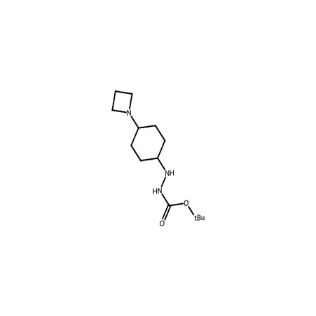 CC(C)(C)OC(=O)NNC1CCC(N2CCC2)CC1